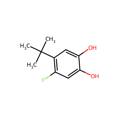 CC(C)(C)c1cc(O)c(O)cc1F